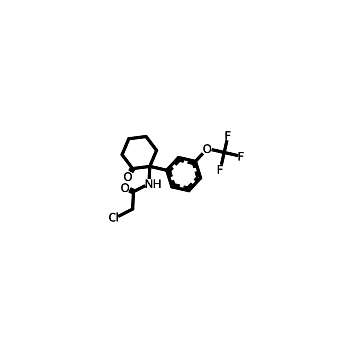 O=C(CCl)NC1(c2cccc(OC(F)(F)F)c2)CCCCC1=O